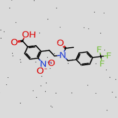 CC(=O)N(CCc1cc(C(=O)O)ccc1[N+](=O)[O-])Cc1ccc(C(F)(F)F)cc1